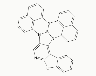 c1cc2c3c(cccc3c1)N1B3N2c2cnc4oc5ccccc5c4c2N3c2cccc3cccc1c23